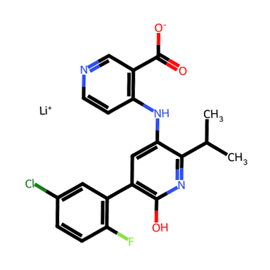 CC(C)c1nc(O)c(-c2cc(Cl)ccc2F)cc1Nc1ccncc1C(=O)[O-].[Li+]